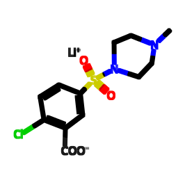 CN1CCN(S(=O)(=O)c2ccc(Cl)c(C(=O)[O-])c2)CC1.[Li+]